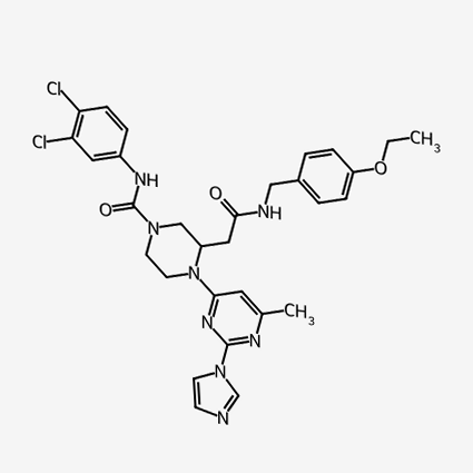 CCOc1ccc(CNC(=O)CC2CN(C(=O)Nc3ccc(Cl)c(Cl)c3)CCN2c2cc(C)nc(-n3ccnc3)n2)cc1